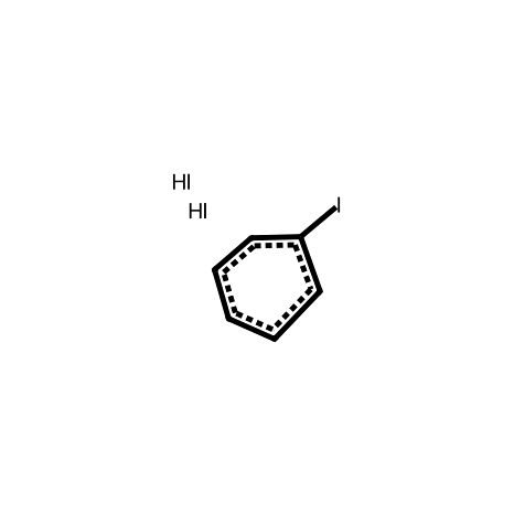 I.I.Ic1ccccc1